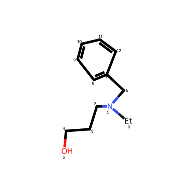 CCN(CCCO)Cc1ccccc1